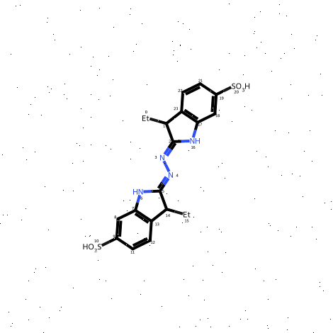 CCC1C(=NN=C2Nc3cc(S(=O)(=O)O)ccc3C2CC)Nc2cc(S(=O)(=O)O)ccc21